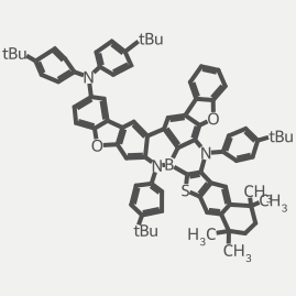 CC(C)(C)c1ccc(N2B3c4sc5cc6c(cc5c4N(c4ccc(C(C)(C)C)cc4)c4c3c(cc3c4oc4ccccc43)-c3cc4c(cc32)oc2ccc(N(c3ccc(C(C)(C)C)cc3)c3ccc(C(C)(C)C)cc3)cc24)C(C)(C)CCC6(C)C)cc1